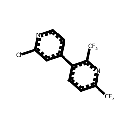 FC(F)(F)c1c[c]c(-c2ccnc(Cl)c2)c(C(F)(F)F)n1